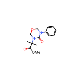 COC(=O)C(C)(C)N1COCN(c2ccccc2)C1=O